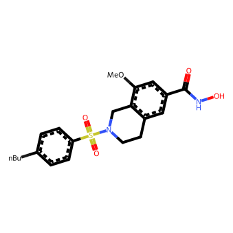 CCCCc1ccc(S(=O)(=O)N2CCc3cc(C(=O)NO)cc(OC)c3C2)cc1